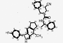 C[C@H]1C2=CNN(c3ccc(F)cc3)C2=CC2=C1[C@@H](CC(NC(=O)N(CCC#N)Cc1cccnc1)c1ccccc1)CC2